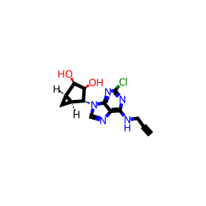 C#CCNc1nc(Cl)nc2c1ncn2[C@H]1[C@H](O)[C@H](O)[C@@H]2C[C@@H]21